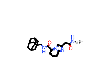 CCCNC(=O)Cc1cn2c(C(=O)NCC34CC5CC(CC(C5)C3)C4)cccc2n1